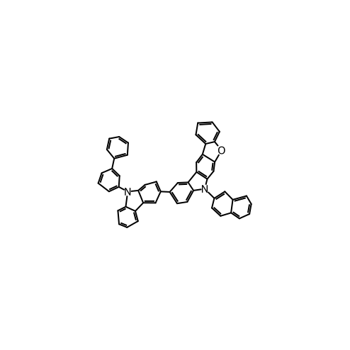 c1ccc(-c2cccc(-n3c4ccccc4c4cc(-c5ccc6c(c5)c5cc7c(cc5n6-c5ccc6ccccc6c5)oc5ccccc57)ccc43)c2)cc1